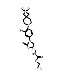 CCOC(=O)NC[C@H]1CN(c2ccc(N3CCC4(CC3)CS(=O)(=O)C4)c(F)c2)C(=O)O1